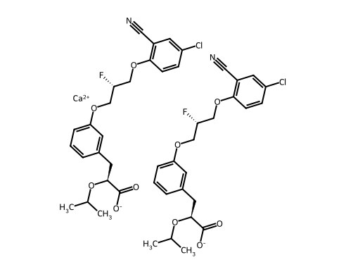 CC(C)O[C@@H](Cc1cccc(OC[C@H](F)COc2ccc(Cl)cc2C#N)c1)C(=O)[O-].CC(C)O[C@@H](Cc1cccc(OC[C@H](F)COc2ccc(Cl)cc2C#N)c1)C(=O)[O-].[Ca+2]